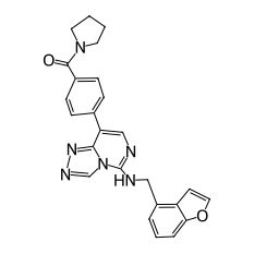 O=C(c1ccc(-c2cnc(NCc3cccc4occc34)n3cnnc23)cc1)N1CCCC1